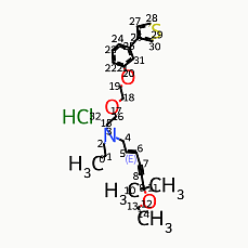 CCCN(C/C=C/C#CC(C)(C)OCC)CCOCCOc1cccc(-c2ccsc2)c1.Cl